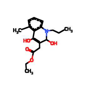 CCCN1c2cccc(C)c2C(O)=C(CC(=O)OCC)C1O